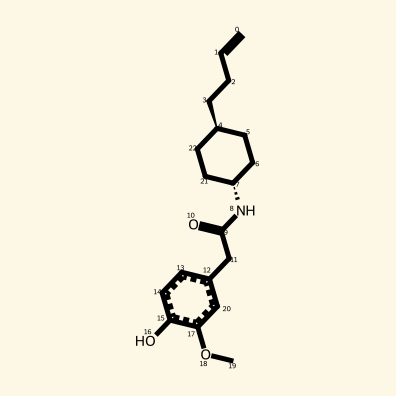 C=CCC[C@H]1CC[C@H](NC(=O)Cc2ccc(O)c(OC)c2)CC1